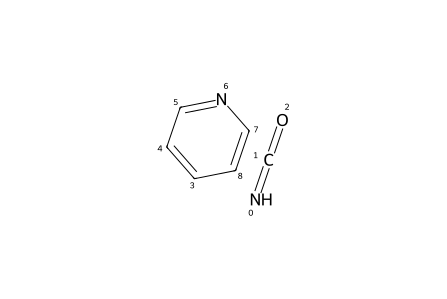 N=C=O.c1ccncc1